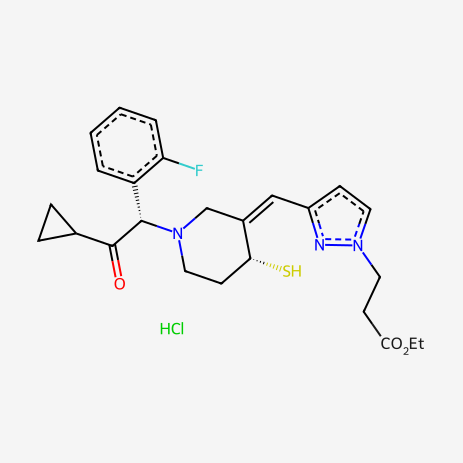 CCOC(=O)CCn1ccc(/C=C2/CN([C@H](C(=O)C3CC3)c3ccccc3F)CC[C@H]2S)n1.Cl